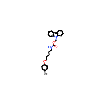 CC(=O)c1ccc(OCCCCCNC(=O)OCn2c3ccccc3c3ccccc32)cc1